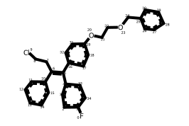 Fc1ccc(C(=C(CCCl)c2ccccc2)c2ccc(OCCOCc3ccccc3)cc2)cc1